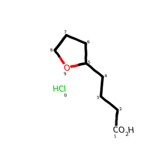 Cl.O=C(O)CCCC1CCCO1